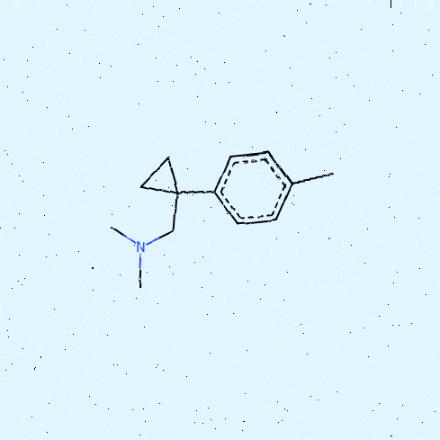 Cc1ccc(C2(CN(C)C)CC2)cc1